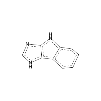 c1ccc2c(c1)[nH]c1nc[nH]c12